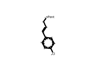 CCCCCC/C=C/c1ccc(Cl)cc1